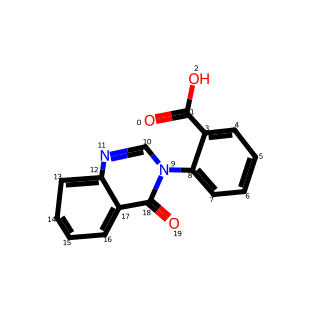 O=C(O)c1ccccc1-n1cnc2ccccc2c1=O